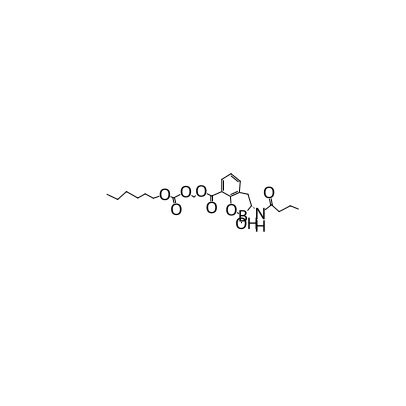 CCCCCCOC(=O)OCOC(=O)c1cccc2c1OB(O)[C@@H](NC(=O)CCC)C2